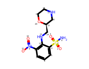 NS(=O)(=O)c1cccc([N+](=O)[O-])c1NC[C@@H]1CNCCO1